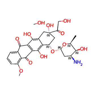 CO.COc1cccc2c1C(=O)c1c(O)c3c(c(O)c1C2=O)C[C@@](O)(C(=O)CO)C[C@@H]3O[C@H]1C[C@H](N)[C@H](O)[C@H](C)O1